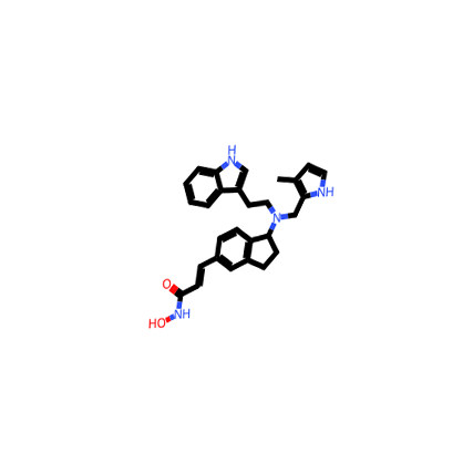 Cc1cc[nH]c1CN(CCc1c[nH]c2ccccc12)C1CCc2cc(C=CC(=O)NO)ccc21